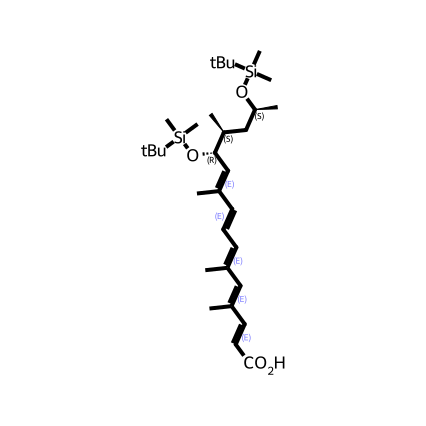 CC(=C\C=C\C(C)=C\[C@H](O[Si](C)(C)C(C)(C)C)[C@@H](C)C[C@H](C)O[Si](C)(C)C(C)(C)C)/C=C(C)/C=C/C(=O)O